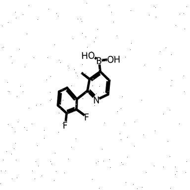 Cc1c(B(O)O)ccnc1-c1cccc(F)c1F